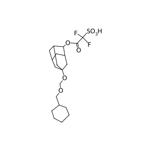 O=C(OC1C2CC3CC1CC(OCOCC1CCCCC1)(C3)C2)C(F)(F)S(=O)(=O)O